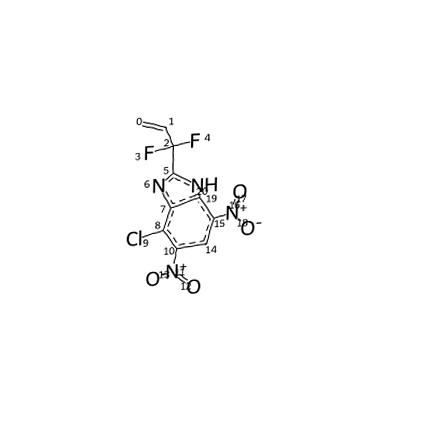 C=CC(F)(F)c1nc2c(Cl)c([N+](=O)[O-])cc([N+](=O)[O-])c2[nH]1